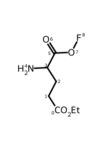 CCOC(=O)CCC(N)C(=O)OF